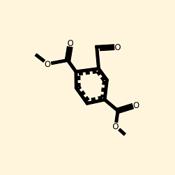 COC(=O)c1ccc(C(=O)OC)c(C=O)c1